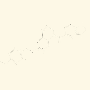 COc1ccc(CNc2ncc3c(Nc4ccc5c(c4)OCO5)nccc3n2)cc1